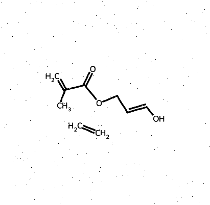 C=C.C=C(C)C(=O)OCC=CO